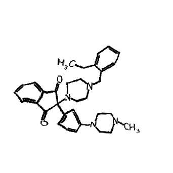 CCc1ccccc1CN1CCN(C2(c3cccc(N4CCN(C)CC4)c3)C(=O)c3ccccc3C2=O)CC1